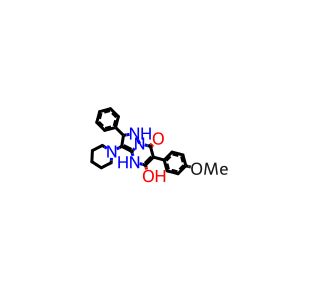 COc1ccc(C2=C(O)NC3=C(N4CCCCC4)C(c4ccccc4)NN3C2=O)cc1